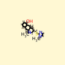 CN1C[C@H](CSc2nccn2C)C[C@@H]2Cc3c(O)cccc3C[C@H]21